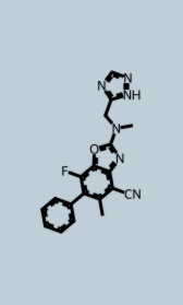 Cc1c(-c2ccccc2)c(F)c2oc(N(C)Cc3ncn[nH]3)nc2c1C#N